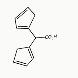 O=C(O)C(C1=CC=CC1)C1=CC=CC1